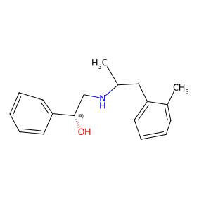 Cc1ccccc1CC(C)NC[C@H](O)c1ccccc1